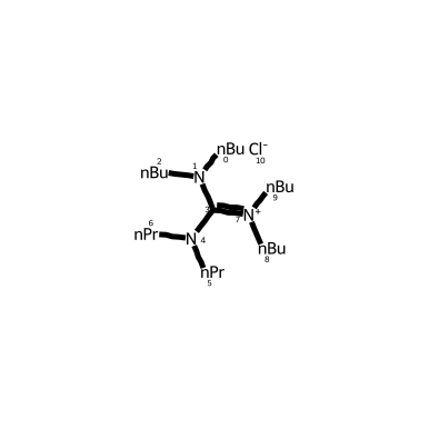 CCCCN(CCCC)C(N(CCC)CCC)=[N+](CCCC)CCCC.[Cl-]